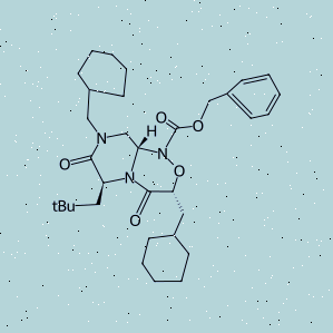 CC(C)(C)C[C@H]1C(=O)N(CC2CCCCC2)C[C@@H]2N(C(=O)OCc3ccccc3)O[C@H](CC3CCCCC3)C(=O)N21